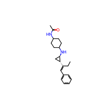 CC/C(=C\c1ccccc1)[C@@H]1C[C@H]1NC1CCC(NC(C)=O)CC1